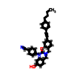 CCCCc1ccc(C#Cc2ccc(CN(Cc3ccc(O)cc3)C(=O)Nc3ccc(C#N)cc3)cc2)cc1